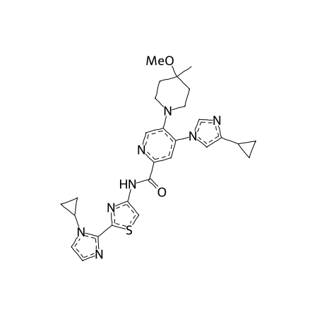 COC1(C)CCN(c2cnc(C(=O)Nc3csc(-c4nccn4C4CC4)n3)cc2-n2cnc(C3CC3)c2)CC1